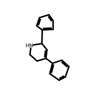 C1=C(c2ccccc2)CCNC1c1ccccc1